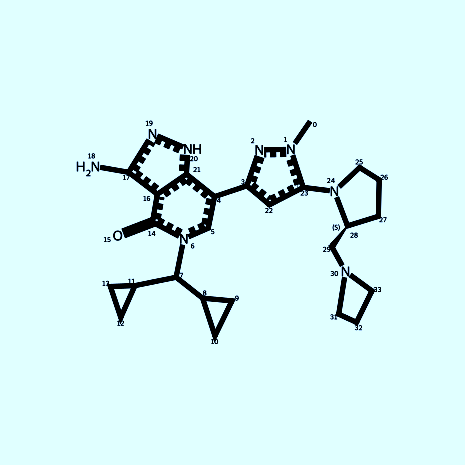 Cn1nc(-c2cn(C(C3CC3)C3CC3)c(=O)c3c(N)n[nH]c23)cc1N1CCC[C@H]1CN1CCC1